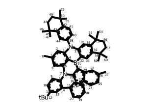 Cc1cc2c3c(c1)N(c1ccc(C(C)(C)C)cc1-c1ccccc1)c1oc4ccc(C)cc4c1B3c1cc3c(cc1N2c1ccc2c(c1)C(C)(C)CCC2(C)C)C(C)(C)CCC3(C)C